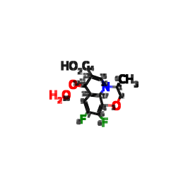 C[C@H]1COc2c(F)c(F)cc3c(=O)c(C(=O)O)cn1c23.O